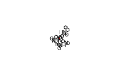 CN(CCN1CCNC(=O)C1)C(=O)c1cccc(C(=O)Nc2ccc(N3CCCCC3)cc2-c2cc(C(=O)N[C@H]3CCCc4ccccc43)ccn2)c1